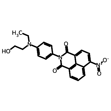 CCN(CCO)c1ccc(N2C(=O)c3cccc4c([N+](=O)[O-])ccc(c34)C2=O)cc1